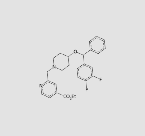 CCOC(=O)c1ccnc(CN2CCC(OC(c3ccccc3)c3ccc(F)c(F)c3)CC2)c1